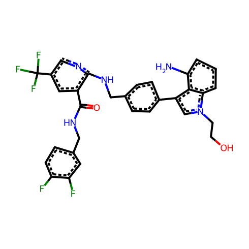 Nc1cccc2c1c(-c1ccc(CNc3ncc(C(F)(F)F)cc3C(=O)NCc3ccc(F)c(F)c3)cc1)cn2CCO